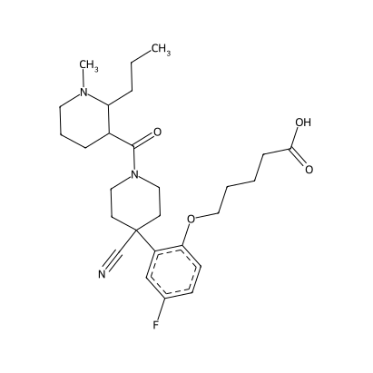 CCCC1C(C(=O)N2CCC(C#N)(c3cc(F)ccc3OCCCCC(=O)O)CC2)CCCN1C